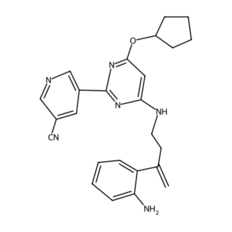 C=C(CCNc1cc(OC2CCCC2)nc(-c2cncc(C#N)c2)n1)c1ccccc1N